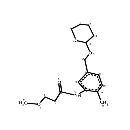 COCCC(=O)Nc1cc(COC2CCCCO2)ccc1C